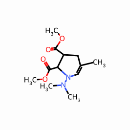 COC(=O)C1CC(C)=CN(N(C)C)C1C(=O)OC